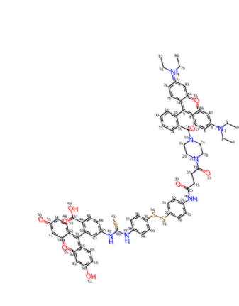 CCN(CC)c1ccc2c(-c3ccccc3C(=O)N3CCN(C(=O)CCC(=O)Nc4ccc(SSc5ccc(NC(=S)Nc6ccc(C(=O)O)c(-c7c8ccc(=O)cc-8oc8cc(O)ccc78)c6)cc5)cc4)CC3)c3ccc(=[N+](CC)CC)cc-3oc2c1